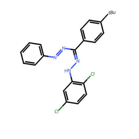 CC(C)(C)c1ccc(C(=N/Nc2cc(Cl)ccc2Cl)/N=N/c2ccccc2)cc1